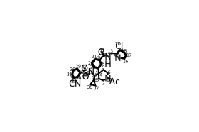 CC(=O)N1CCC2(CC1)c1cc(C(=O)NCc3ncccc3Cl)ccc1N(S(=O)(=O)c1cccc(C#N)c1)C2C1CC1